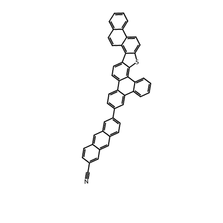 N#Cc1ccc2cc3cc(-c4ccc5c(c4)c4ccccc4c4c5ccc5c4sc4ccc6c7ccccc7ccc6c45)ccc3cc2c1